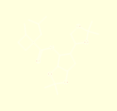 CC(C)CC1(C(=O)OC2C(C3COC(C)(C)O3)CC3OC(C)(C)OC32)CCC1C